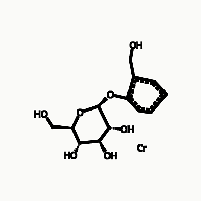 OCc1ccccc1O[C@@H]1O[C@H](CO)[C@@H](O)[C@H](O)[C@H]1O.[Cr]